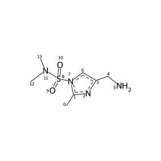 Cc1nc(CN)cn1S(=O)(=O)N(C)C